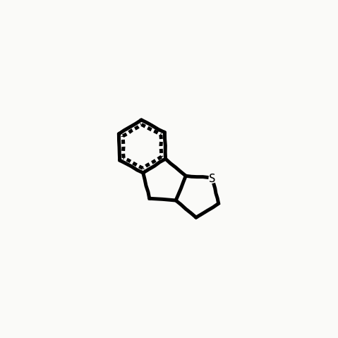 c1ccc2c(c1)CC1CCSC21